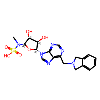 CN([C@@H]1O[C@@H](n2cnc3c(CN4Cc5ccccc5C4)ncnc32)[C@H](O)[C@@H]1O)S(=O)(=O)O